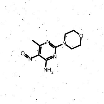 Cc1nc(N2CCOCC2)nc(N)c1N=O